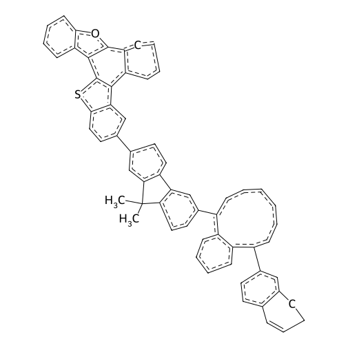 CC1(C)c2ccc(-c3ccccccc(-c4ccc5c(c4)CCC=C5)c4ccccc34)cc2-c2ccc(-c3ccc4sc5c(c4c3)c3ccccc3c3oc4ccccc4c35)cc21